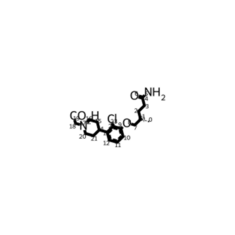 C[C@@H](CCC(N)=O)COc1cccc(C2CCN(CC(=O)O)CC2)c1Cl